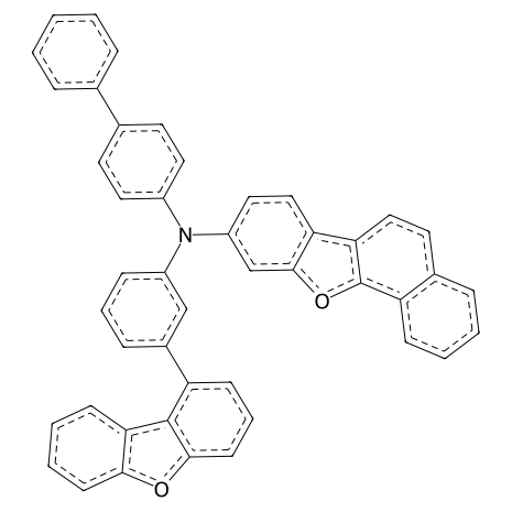 c1ccc(-c2ccc(N(c3cccc(-c4cccc5oc6ccccc6c45)c3)c3ccc4c(c3)oc3c5ccccc5ccc43)cc2)cc1